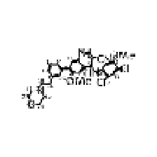 COc1cc(Nc2c(C#N)cnc3cc(-c4cccc(CCN5CCOCC5)c4)c(OC)cc23)c(Cl)cc1Cl